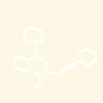 CC(C)(C)OC(=O)[C@@H](CC#Cc1ccccc1)N=C(c1ccccc1)c1ccccc1